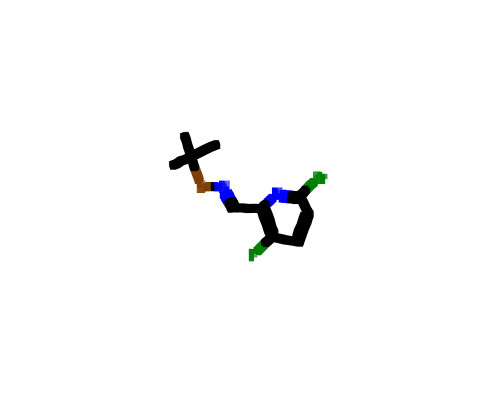 CC(C)(C)SN=Cc1nc(Br)ccc1F